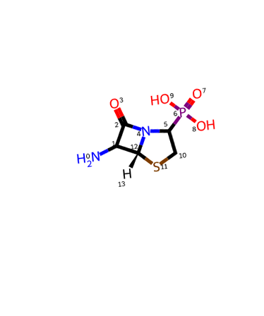 NC1C(=O)N2C(P(=O)(O)O)CS[C@H]12